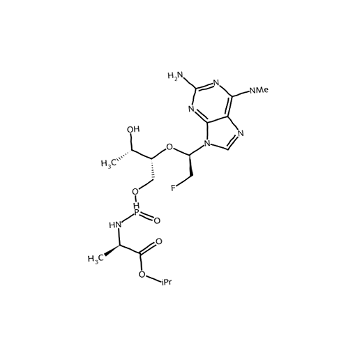 CNc1nc(N)nc2c1ncn2[C@@H](CF)O[C@H](CO[PH](=O)N[C@H](C)C(=O)OC(C)C)[C@H](C)O